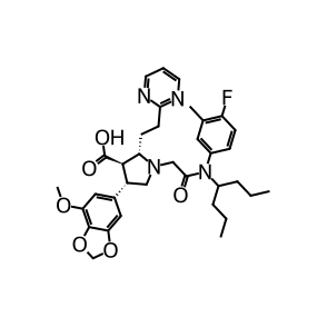 CCCC(CCC)N(C(=O)CN1C[C@H](c2cc(OC)c3c(c2)OCO3)[C@@H](C(=O)O)[C@@H]1CCc1ncccn1)c1ccc(F)c(C)c1